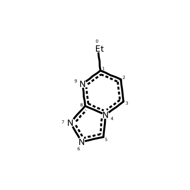 CCc1ccn2cnnc2n1